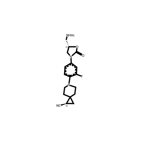 CC(=O)NC[C@H]1CN(c2ccc(N3CCC4(CC3)C[C@H]4C#N)c(F)c2)C(=O)O1